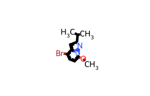 COc1ccc(Br)c2cc(C(C)C)nn12